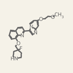 COCCOc1ccn2c(-c3ccc4cccc(OCC5(F)CCNCC5)c4n3)cnc2c1